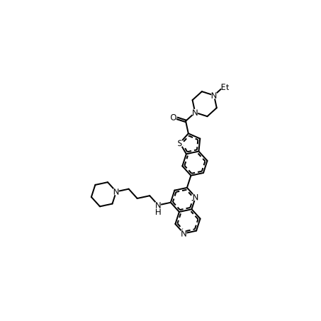 CCN1CCN(C(=O)c2cc3ccc(-c4cc(NCCCN5CCCCC5)c5cnccc5n4)cc3s2)CC1